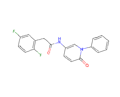 O=C(Cc1cc(F)ccc1F)Nc1ccc(=O)n(-c2ccccc2)c1